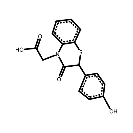 O=C(O)CN1C(=O)C(c2ccc(O)cc2)Sc2ccccc21